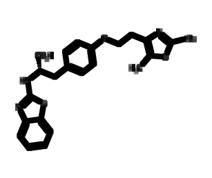 Cc1oc(C(C)(C)C)nc1CCOc1ccc(C[C@H](Nc2nc3ccccc3o2)C(=O)O)cc1